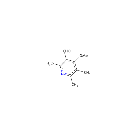 COc1c(C)c(C)nc(C)c1C=O